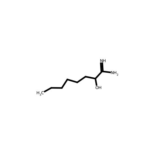 CCCCCCC(O)C(=N)N